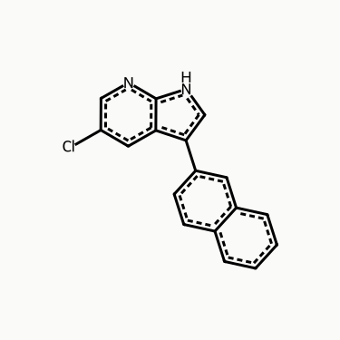 Clc1cnc2[nH]cc(-c3ccc4ccccc4c3)c2c1